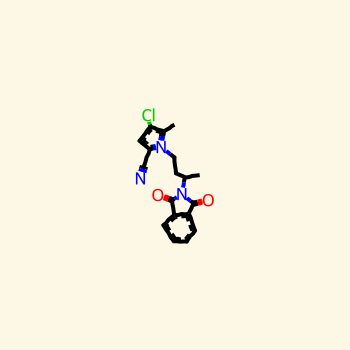 Cc1c(Cl)cc(C#N)n1CCC(C)N1C(=O)c2ccccc2C1=O